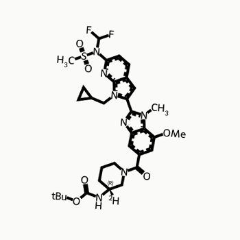 [2H][C@@]1(NC(=O)OC(C)(C)C)CCCN(C(=O)c2cc(OC)c3c(c2)nc(-c2cc4ccc(N(C(F)F)S(C)(=O)=O)nc4n2CC2CC2)n3C)C1